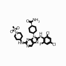 CS(=O)(=O)N1CCC(Nc2ncc3nc(Nc4c(F)cc(Cl)cc4Cl)n([C@H]4CC[C@H](C(N)=O)CC4)c3n2)CC1